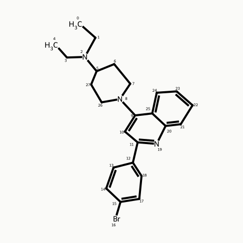 CCN(CC)C1CCN(c2cc(-c3ccc(Br)cc3)nc3ccccc23)CC1